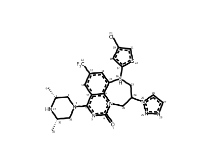 C[C@@H]1CN(c2nc(=O)n3c4c(cc(C(F)(F)F)cc24)[SH](c2cc(Cl)cs2)CC(n2ccnn2)C3)C[C@H](C)N1